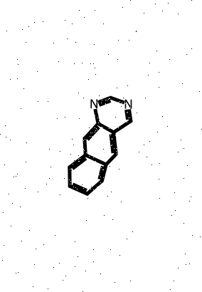 c1ccc2cc3ncncc3cc2c1